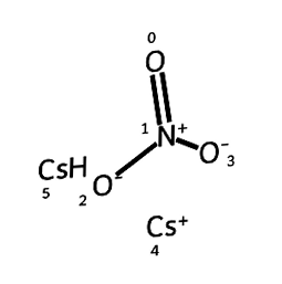 O=[N+]([O-])[O-].[Cs+].[CsH]